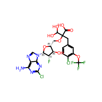 Nc1nc(Cl)nc2c1ncn2[C@@H]1O[C@H](COC(Cc2ccc(Cl)c(OC(F)(F)F)c2)(C(=O)O)C(O)O)[C@@H](O)[C@@H]1F